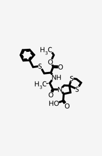 CCOC(=O)C(CSCc1ccccc1)N[C@@H](C)C(=O)N1CC2(CC1C(=O)O)SCCS2